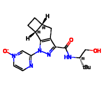 CC(C)(C)[C@@H](CO)NC(=O)c1nn(-c2c[n+]([O-])ccn2)c2c1C[C@H]1CC[C@@H]21